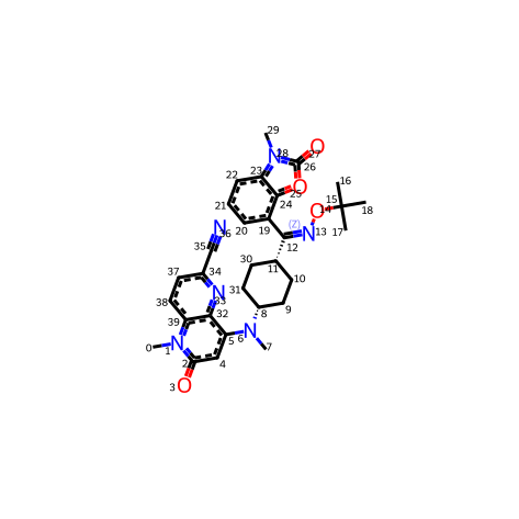 Cn1c(=O)cc(N(C)[C@H]2CC[C@@H](/C(=N/OC(C)(C)C)c3cccc4c3oc(=O)n4C)CC2)c2nc(C#N)ccc21